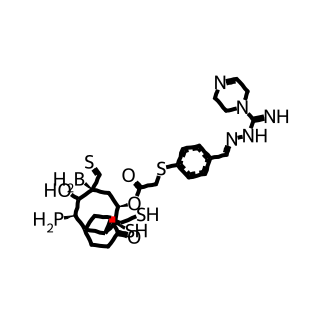 B[C@@]1(C=S)C[C@@H](OC(=O)CSc2ccc(/C=N/NC(=N)N3CC=NCC3)cc2)[C@]2(S)C(S)CC34CC(CCC3=O)(C42)[C@@H](P)C1O